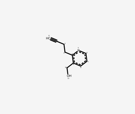 C#CCCc1ncccc1CO